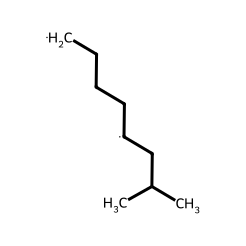 [CH2]CCC[CH]CC(C)C